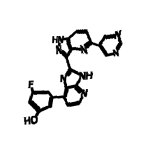 Oc1cc(F)cc(-c2ccnc3[nH]c(-c4n[nH]c5ccc(-c6cncnc6)nc45)nc23)c1